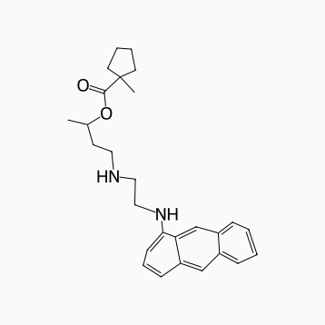 CC(CCNCCNc1cccc2cc3ccccc3cc12)OC(=O)C1(C)CCCC1